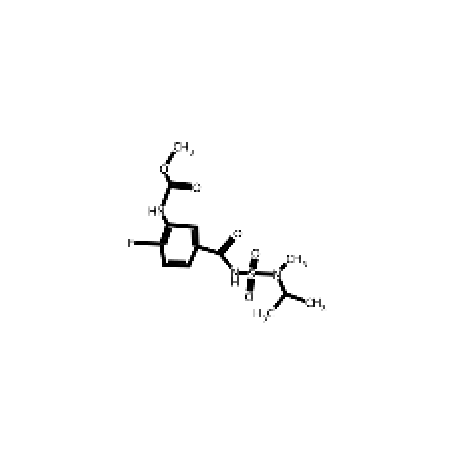 COC(=O)Nc1cc(C(=O)NS(=O)(=O)N(C)C(C)C)ccc1F